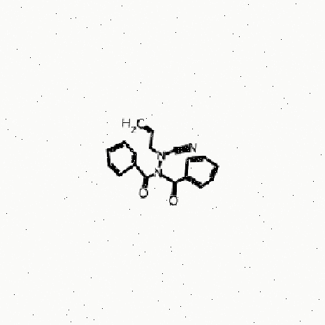 C=CCN(C#N)N(C(=O)c1ccccc1)C(=O)c1ccccc1